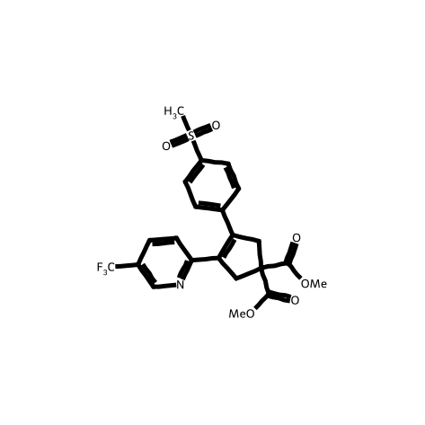 COC(=O)C1(C(=O)OC)CC(c2ccc(S(C)(=O)=O)cc2)=C(c2ccc(C(F)(F)F)cn2)C1